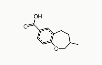 CC1CCc2cc(C(=O)O)ccc2OC1